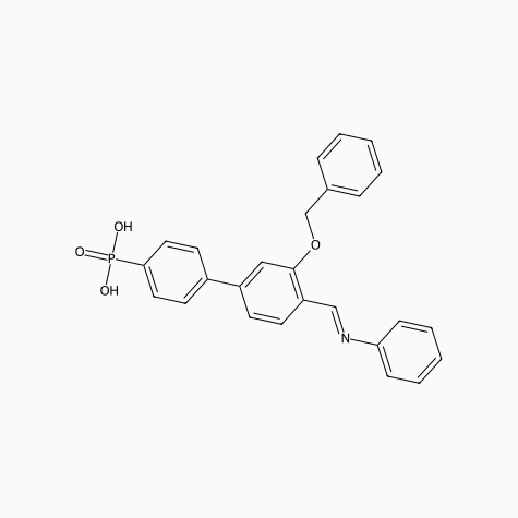 O=P(O)(O)c1ccc(-c2ccc(C=Nc3ccccc3)c(OCc3ccccc3)c2)cc1